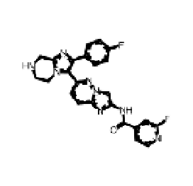 O=C(Nc1cn2nc(-c3c(-c4ccc(F)cc4)nc4n3CCNC4)ccc2n1)c1ccnc(F)c1